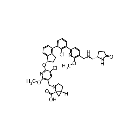 COc1nc(-c2cccc(-c3cccc4c3CC[C@@H]4Oc3nc(OC)c(CN4CC[C@@H]5C[C@@]54C(=O)O)cc3Cl)c2Cl)ccc1CNC[C@@H]1CCC(=O)N1